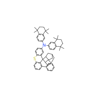 CC1(C)CCC(C)(C)c2cc(N(c3ccc4c(c3)C(C)(C)CCC4(C)C)c3ccc4c(c3)C3(c5c(cccc5-c5ccccc5)S4)C4CC5CC6CC3C64C5)ccc21